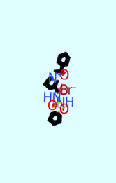 O=C(C[n+]1cccc(C(=O)NNS(=O)(=O)c2ccccc2)c1)c1ccccc1.[Br-]